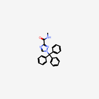 CNC(=O)c1ncn(C(c2ccccc2)(c2ccccc2)c2ccccc2)n1